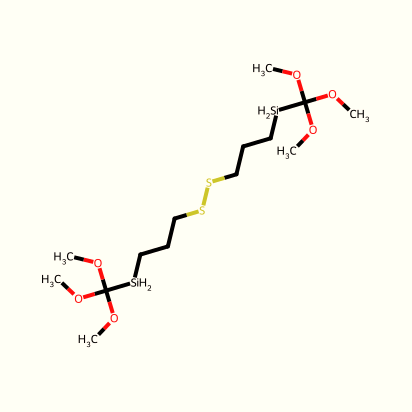 COC(OC)(OC)[SiH2]CCCSSCCC[SiH2]C(OC)(OC)OC